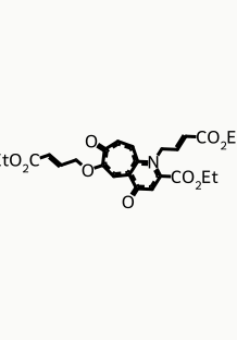 CCOC(=O)C=CCOc1cc2c(=O)cc(C(=O)OCC)n(CC=CC(=O)OCC)c2ccc1=O